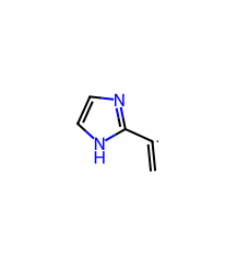 C=[C]c1ncc[nH]1